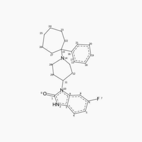 O=c1[nH]c2ccc(F)cc2n1C1CCN(C2(c3ccccc3)CCCCCC2)CC1